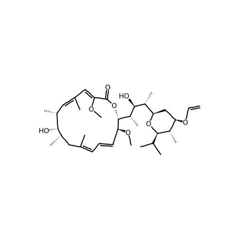 C=CO[C@@H]1C[C@H]([C@@H](C)[C@H](O)[C@H](C)[C@H]2OC(=O)/C(OC)=C/C(C)=C/[C@@H](C)[C@@H](O)[C@@H](C)C/C(C)=C/C=C/[C@@H]2OC)O[C@H](C(C)C)[C@H]1C